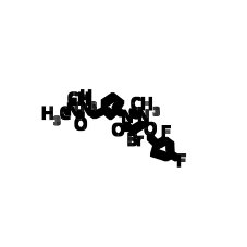 Cc1nc(OCc2ccc(F)cc2F)c(Br)c(=O)n1-c1cccc(CNC(=O)N(C)C)c1